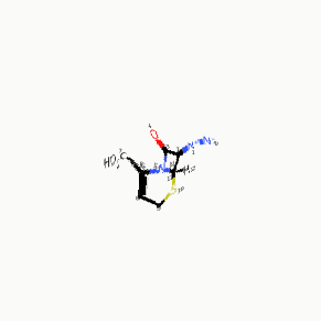 [N-]=[N+]=C1C(=O)N2C(C(=O)O)=CCS[C@@H]12